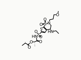 C[CH]C(=O)O[C@@H](C)C(=O)NS(=O)(=O)c1cc2c(s1)S(=O)(=O)N(CCCOC)C[C@@H]2NCC